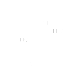 C=CC.O.OCC(O)CO